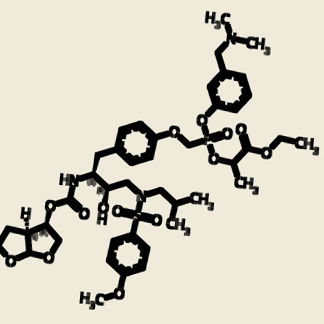 CCOC(=O)C(C)OP(=O)(COc1ccc(C[C@H](NC(=O)O[C@H]2COC3OCC[C@H]32)[C@H](O)CN(CC(C)C)S(=O)(=O)c2ccc(OC)cc2)cc1)Oc1cccc(CN(C)C)c1